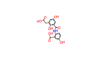 O=C(O)Cc1cc(O)cc(C(=O)Nc2ccc(O)cc2C(=O)O)c1O